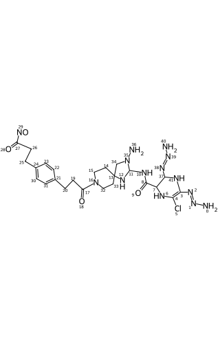 NN=NC1=C(Cl)NC(C(=O)NC2NC3(CCN(C(=O)CCc4ccc(CCC(=O)N=O)cc4)CC3)CN2N)C(N=NN)N1